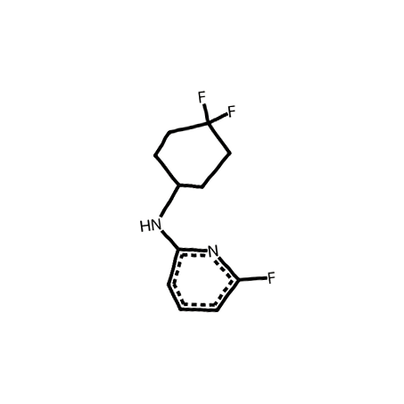 Fc1cccc(NC2CCC(F)(F)CC2)n1